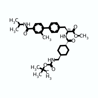 COC(=O)[C@H](Cc1ccc(-c2ccc(C(=O)NC(C)C)cc2C)cc1)NC(=O)[C@H]1CC[C@H](CNC(=O)OC(C)(C)C)CC1